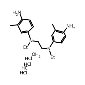 CCN(CCN(CC)c1ccc(N)c(C)c1)c1ccc(N)c(C)c1.Cl.Cl.Cl.Cl.O